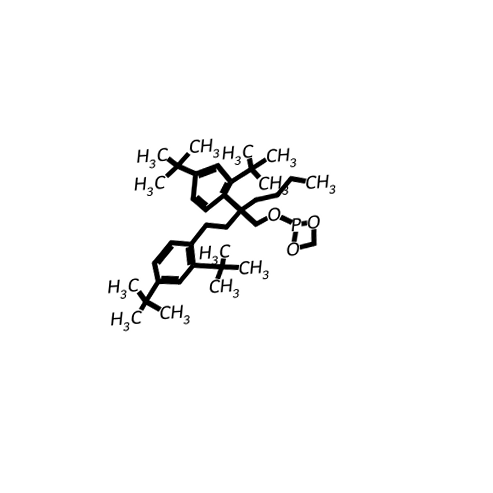 CCCCC(CCc1ccc(C(C)(C)C)cc1C(C)(C)C)(COP1OCO1)c1ccc(C(C)(C)C)cc1C(C)(C)C